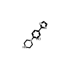 Cl.c1coc(-c2ccc(N3CCNCC3)cc2)n1